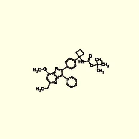 CCc1cc(OC)c2nc(-c3ccc(C4(NC(=O)OC(C)(C)C)CCC4)cc3)c(-c3ccccc3)n2n1